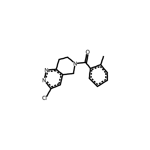 Cc1ccccc1C(=O)N1CCc2nnc(Cl)cc2C1